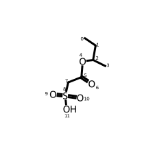 CCC(C)OC(=O)CS(=O)(=O)O